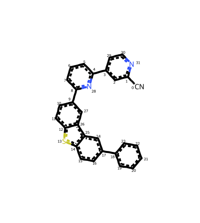 N#Cc1cc(-c2cccc(-c3ccc4sc5ccc(-c6ccccc6)cc5c4c3)n2)ccn1